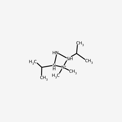 CC(C)[SiH]1N[SiH](C(C)C)[N+]1(C)C